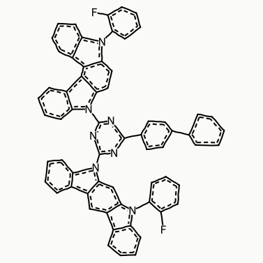 Fc1ccccc1-n1c2ccccc2c2cc3c4ccccc4n(-c4nc(-c5ccc(-c6ccccc6)cc5)nc(-n5c6ccccc6c6c7c8ccccc8n(-c8ccccc8F)c7ccc65)n4)c3cc21